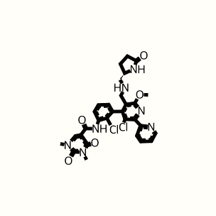 COc1nc(-c2ccccn2)c(Cl)c(-c2cccc(NC(=O)c3cn(C)c(=O)n(C)c3=O)c2Cl)c1CNC[C@@H]1CCC(=O)N1